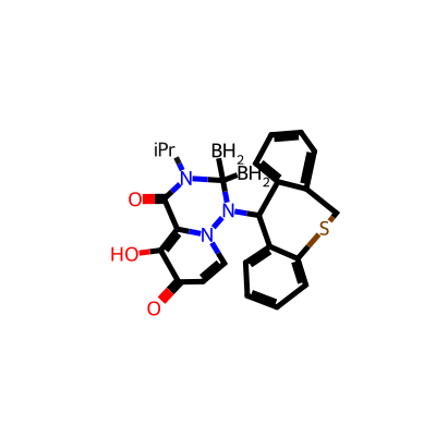 BC1(B)N(C(C)C)C(=O)c2c(O)c(=O)ccn2N1C1c2ccccc2CSc2ccccc21